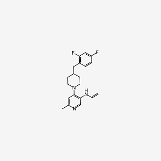 C=CNc1cnc(C)cc1N1CCC(Cc2ccc(F)cc2F)CC1